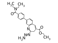 CCOC(=O)C1=Cc2ccc(-c3ccc(C(=O)N(CC)CC)cc3)cc2N=C(N=NN)C1